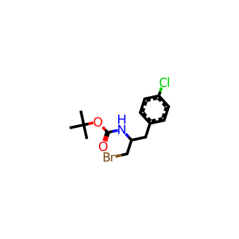 CC(C)(C)OC(=O)NC(CBr)Cc1ccc(Cl)cc1